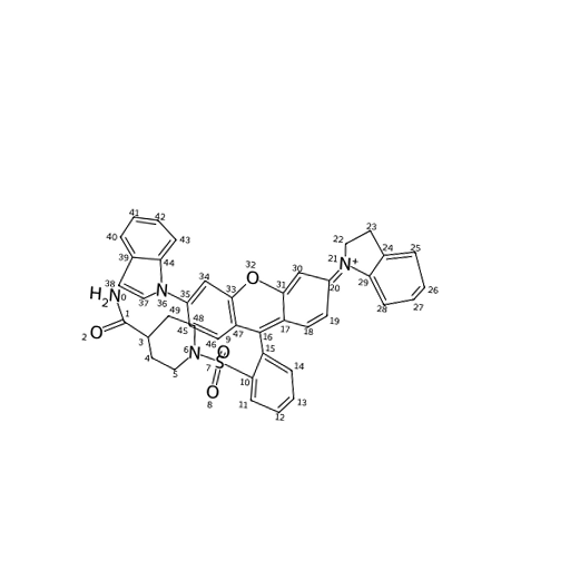 NC(=O)C1CCN(S(=O)(=O)c2ccccc2-c2c3ccc(=[N+]4CCc5ccccc54)cc-3oc3cc(-n4ccc5ccccc54)ccc23)CC1